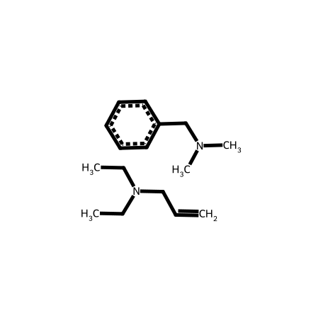 C=CCN(CC)CC.CN(C)Cc1ccccc1